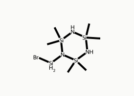 C[Si]1(C)N[Si](C)(C)N([SiH2]Br)[Si](C)(C)N1